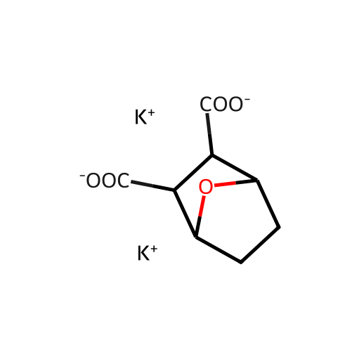 O=C([O-])C1C2CCC(O2)C1C(=O)[O-].[K+].[K+]